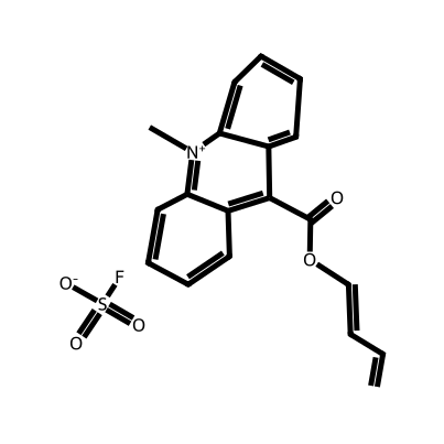 C=C/C=C/OC(=O)c1c2ccccc2[n+](C)c2ccccc12.O=S(=O)([O-])F